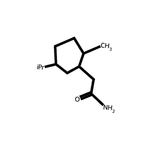 CC(C)C1CCC(C)C(CC(N)=O)C1